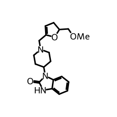 COCC1CC=C(CN2CCC(n3c(=O)[nH]c4ccccc43)CC2)O1